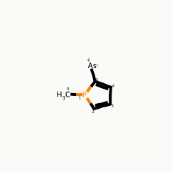 Cp1cccc1[As]